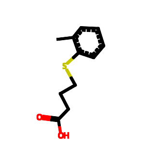 Cc1ccccc1SCCCC(=O)O